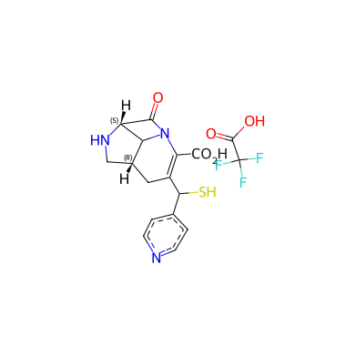 O=C(O)C(F)(F)F.O=C(O)C1=C(C(S)c2ccncc2)C[C@@H]2CN[C@@H]3C(=O)N1C23